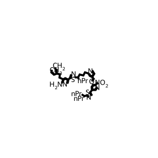 C=C/C=C(\C=C/C)CCc1cc(-c2cnc(C(CCC)CCCc3cc(COc4cc(-c5cnc(C(CCC)CCC)s5)cnc4[N+](=O)[O-])ccn3)s2)cnc1N